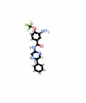 Nc1cc(C(=O)Nc2cnc(-c3ccccc3)cn2)ccc1OC(F)(F)F